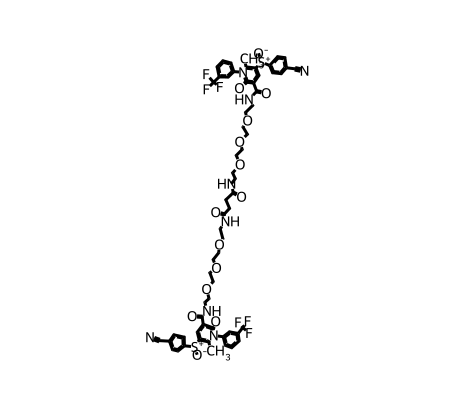 Cc1c([S+]([O-])c2ccc(C#N)cc2)cc(C(=O)NCCOCCOCCOCCNC(=O)CCC(=O)NCCOCCOCCOCCNC(=O)c2cc([S+]([O-])c3ccc(C#N)cc3)c(C)n(-c3cccc(C(F)(F)F)c3)c2=O)c(=O)n1-c1cccc(C(F)(F)F)c1